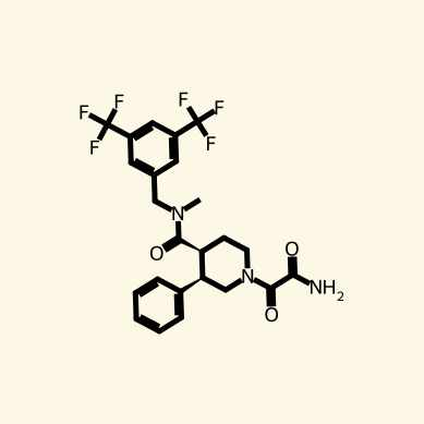 CN(Cc1cc(C(F)(F)F)cc(C(F)(F)F)c1)C(=O)[C@H]1CCN(C(=O)C(N)=O)C[C@H]1c1ccccc1